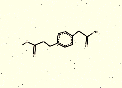 COC(=O)CCc1ccc(CC(N)=O)cc1